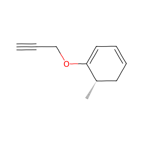 C#CCOC1=CC=CC[C@@H]1C